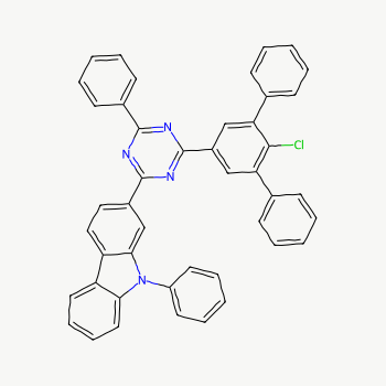 Clc1c(-c2ccccc2)cc(-c2nc(-c3ccccc3)nc(-c3ccc4c5ccccc5n(-c5ccccc5)c4c3)n2)cc1-c1ccccc1